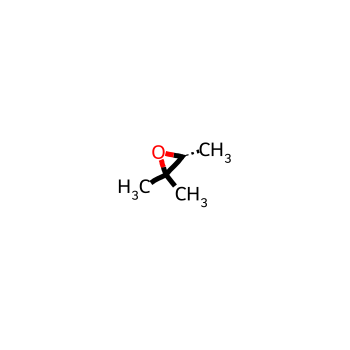 C[C@H]1OC1(C)C